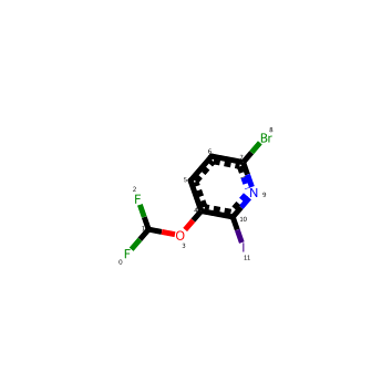 FC(F)Oc1ccc(Br)nc1I